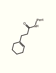 CCCC(C)NC(=O)CCC1=CCCCC1